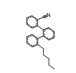 CCCCCc1ccccc1-c1ccccc1-c1ccccc1C#N